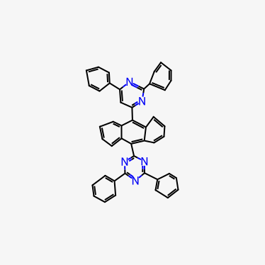 c1ccc(-c2cc(-c3c4ccccc4c(-c4nc(-c5ccccc5)nc(-c5ccccc5)n4)c4ccccc34)nc(-c3ccccc3)n2)cc1